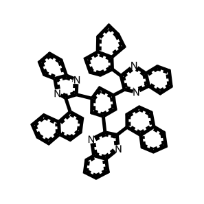 c1ccc2c(-c3nc4ccccc4nc3-c3cc(-c4nc5ccccc5nc4-c4cccc5ccccc45)cc(-c4nc5ccccc5nc4-c4cccc5ccccc45)c3)cccc2c1